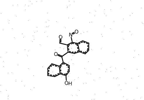 O=Cc1c(C(=O)c2ccc(O)c3ccccc23)cc2ccccc2c1N=O